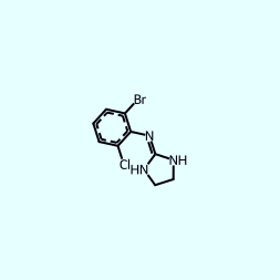 Clc1cccc(Br)c1N=C1NCCN1